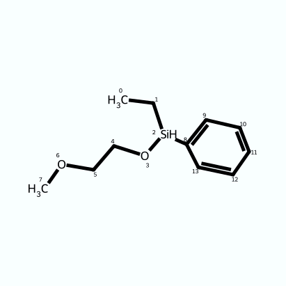 CC[SiH](OCCOC)c1ccccc1